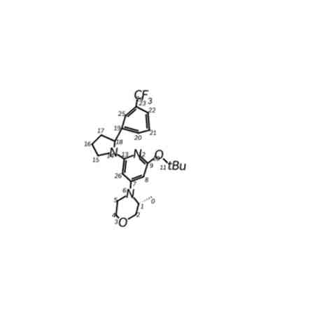 C[C@@H]1COCCN1c1cc(OC(C)(C)C)nc(N2CCCC2c2cccc(C(F)(F)F)c2)c1